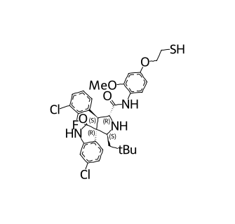 COc1cc(OCCS)ccc1NC(=O)[C@@H]1N[C@@H](CC(C)(C)C)[C@@]2(C(=O)Nc3cc(Cl)ccc32)[C@H]1c1cccc(Cl)c1F